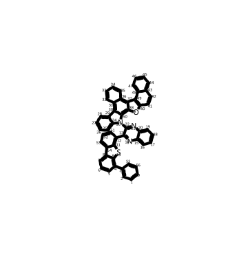 c1ccc(-c2cccc3c2sc2c(-c4nc5ccccc5nc4-n4c5ccccc5c5c6ccccc6c6c(oc7ccc8ccccc8c76)c54)cccc23)cc1